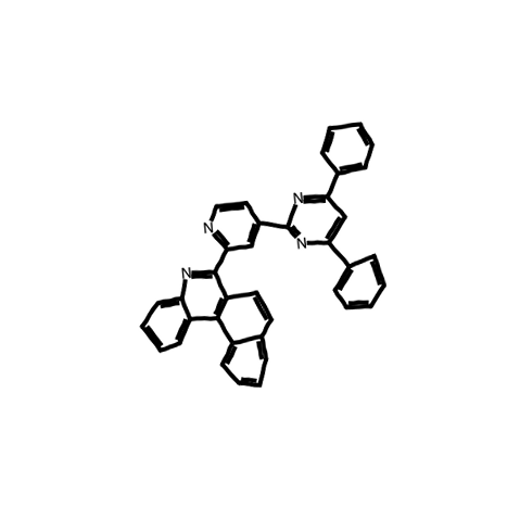 c1ccc(-c2cc(-c3ccccc3)nc(-c3ccnc(-c4nc5ccccc5c5c4ccc4ccccc45)c3)n2)cc1